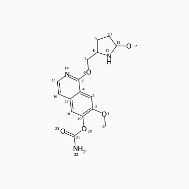 COc1cc2c(OCC3CCC(=O)N3)nccc2cc1OC(N)=O